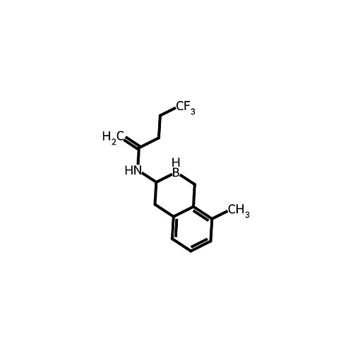 C=C(CCC(F)(F)F)NC1BCc2c(C)cccc2C1